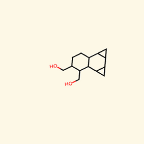 OCC1CCC2C3CC3C3CC3C2C1CO